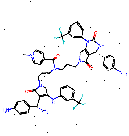 C[n+]1ccc(C(=O)N(CCCN2CC(Nc3cccc(C(F)(F)F)c3)=C([C@H](N)c3ccc(N)cc3)C2=O)CCCN2CC3=C(C2=O)[C@@H](c2ccc(N)cc2)NC(=O)N3c2cccc(C(F)(F)F)c2)cc1